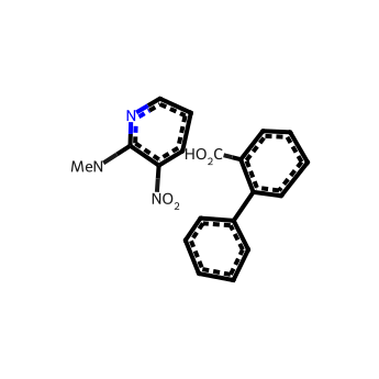 CNc1ncccc1[N+](=O)[O-].O=C(O)c1ccccc1-c1ccccc1